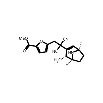 COC(=O)c1ccc(CC(C#N)(C#N)C2=C[C@H]3CC[C@H](N3)[C@@H]2C)o1